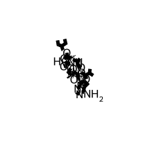 CCC(CC)COC(=O)[C@H](C)NP(=O)(O)OC[C@@]1(C)O[C@@H](c2ccc3c(N)ncnn23)[C@H](OC(=O)C(C)C)[C@@H]1OC(=O)C(C)C